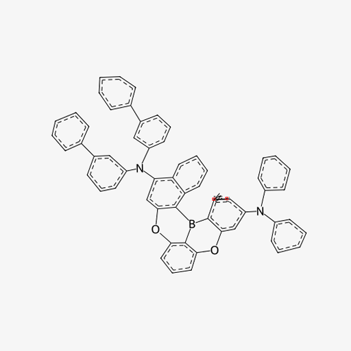 c1ccc(-c2cccc(N(c3cccc(-c4ccccc4)c3)c3cc4c(c5ccccc35)B3c5c(cccc5O4)Oc4cc(N(c5ccccc5)c5ccccc5)c5ccccc5c43)c2)cc1